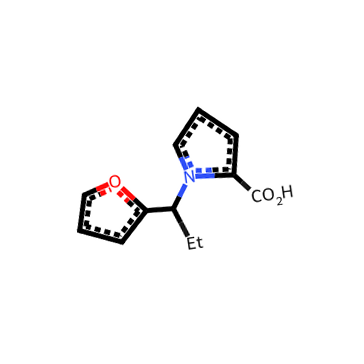 CCC(c1ccco1)n1cccc1C(=O)O